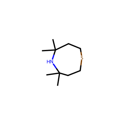 CC1(C)CCSCCC(C)(C)N1